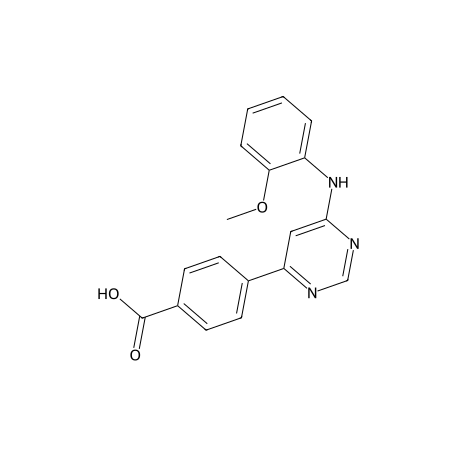 COc1ccccc1Nc1cc(-c2ccc(C(=O)O)cc2)ncn1